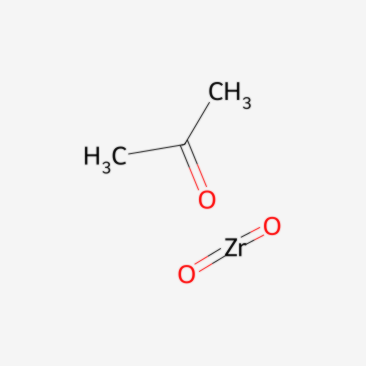 CC(C)=O.[O]=[Zr]=[O]